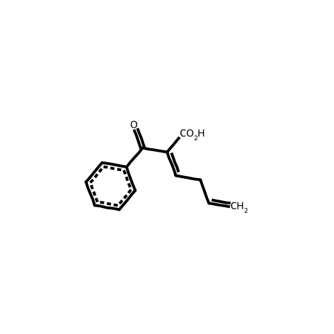 C=CCC=C(C(=O)O)C(=O)c1ccccc1